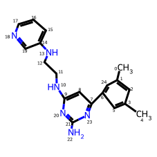 Cc1cc(C)cc(-c2cc(NCCNc3cccnc3)nc(N)n2)c1